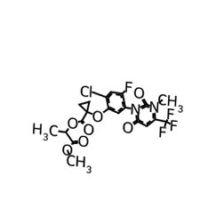 COC(=O)C(C)OC(=O)C1(Oc2cc(-n3c(=O)cc(C(F)(F)F)n(C)c3=O)c(F)cc2Cl)CC1